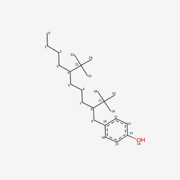 CCCCC(CCCC(Cc1ccc(O)cc1)C(C)(C)C)C(C)(C)C